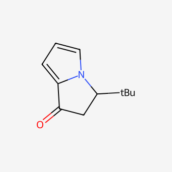 CC(C)(C)C1CC(=O)c2cccn21